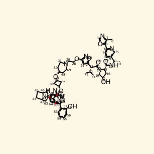 Cc1ncoc1-c1ccc([C@H](C)NC(=O)[C@@H]2C[C@@H](O)CN2C(=O)[C@@H](c2cc(OCCN3CCC(O[C@H]4C[C@H](Oc5cc(N6C7CCC6CN(c6cc(-c8ccccc8O)nnc6N)C7)ccn5)C4)CC3)no2)C(C)C)cn1